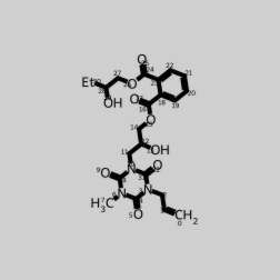 C=CCn1c(=O)n(C)c(=O)n(CC(O)COC(=O)c2ccccc2C(=O)OCC(O)CC)c1=O